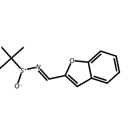 CC(C)(C)[S+]([O-])/N=C/c1cc2ccccc2o1